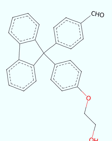 O=Cc1ccc(C2(c3ccc(OCCO)cc3)c3ccccc3-c3ccccc32)cc1